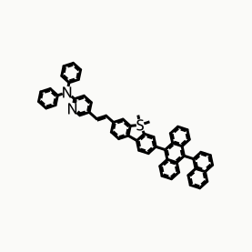 CS1(C)c2cc(/C=C/c3ccc(N(c4ccccc4)c4ccccc4)nc3)ccc2-c2ccc(-c3c4ccccc4c(-c4cccc5ccccc45)c4ccccc34)cc21